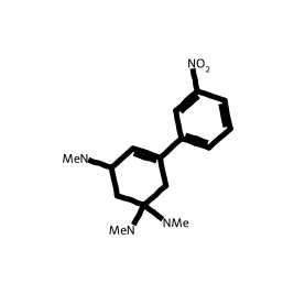 CNC1C=C(c2cccc([N+](=O)[O-])c2)CC(NC)(NC)C1